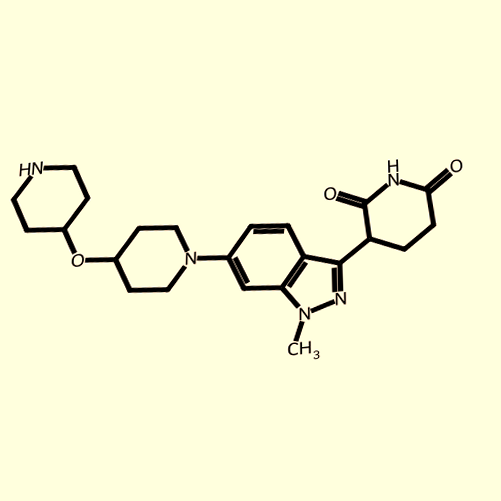 Cn1nc(C2CCC(=O)NC2=O)c2ccc(N3CCC(OC4CCNCC4)CC3)cc21